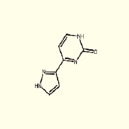 O=c1nc(-c2cc[nH]n2)cc[nH]1